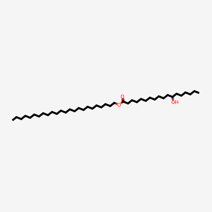 CCCCCCCCCCCCCCCCCCCCCCCCOC(=O)CCCCCCCCCCC(O)CCCCCC